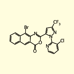 O=c1oc(-c2cc(C(F)(F)F)nn2-c2ncccc2Cl)nc2c(Br)c3ccccc3cc12